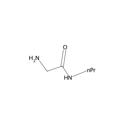 [CH2]CCNC(=O)CN